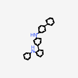 c1ccc(Nc2ccccc2-c2ccc(Nc3ccc(-c4ccccc4)cc3)cc2)cc1